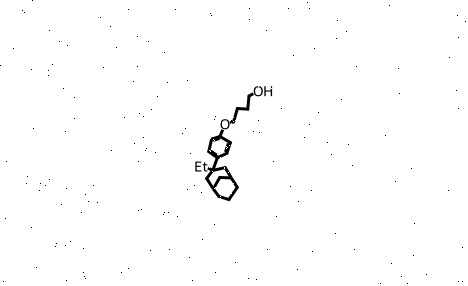 CCC1(c2ccc(OCCCCO)cc2)CC2CCCC(C2)C1